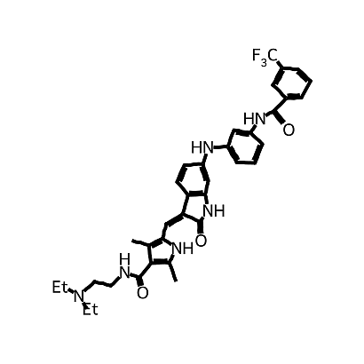 CCN(CC)CCNC(=O)c1c(C)[nH]c(/C=C2\C(=O)Nc3cc(Nc4cccc(NC(=O)c5cccc(C(F)(F)F)c5)c4)ccc32)c1C